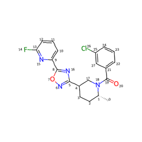 C[C@@H]1CCC(c2noc(-c3cccc(F)n3)n2)CN1C(=O)c1cccc(Cl)c1